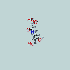 COc1cc2c(cc1CO)CN(C(=O)CCC(=O)O)C2